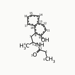 CCC(=O)NC(C)Cc1c(O)ccc2ccccc12